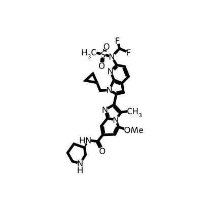 COc1cc(C(=O)N[C@@H]2CCCNC2)cc2nc(-c3cc4ccc(N(C(F)F)S(C)(=O)=O)nc4n3CC3CC3)c(C)n12